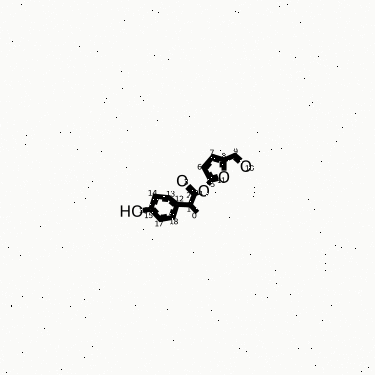 CC(C(=O)Oc1ccc(C=O)o1)c1ccc(O)cc1